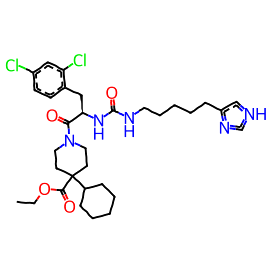 CCOC(=O)C1(C2CCCCC2)CCN(C(=O)[C@@H](Cc2ccc(Cl)cc2Cl)NC(=O)NCCCCCc2c[nH]cn2)CC1